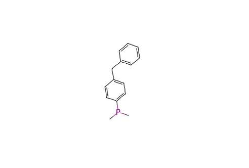 CP(C)c1ccc(Cc2ccccc2)cc1